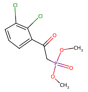 COP(=O)(CC(=O)c1cccc(Cl)c1Cl)OC